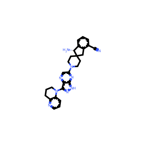 N#Cc1cccc2c1CC1(CCN(c3cnc4c(N5CCCc6ncccc65)n[nH]c4n3)CC1)[C@@H]2N